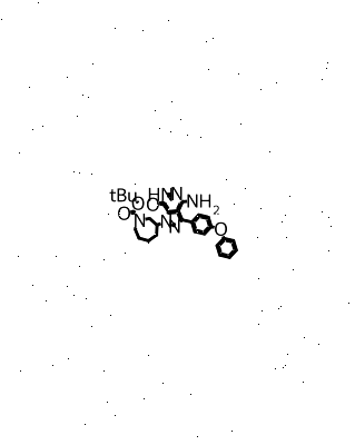 CC(C)(C)OC(=O)N1CCCCC(n2nc(-c3ccc(Oc4ccccc4)cc3)c3c(N)n[nH]c(=O)c32)C1